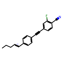 CCC/C=C/c1ccc(C#Cc2ccc(C#N)c(F)c2)cc1